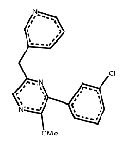 COc1ncc(Cc2cccnc2)nc1-c1cccc(Cl)c1